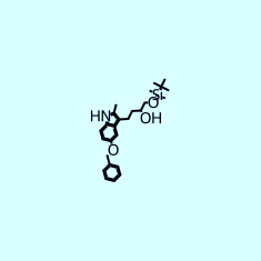 Cc1[nH]c2ccc(OCc3ccccc3)cc2c1CC[C@H](O)CO[Si](C)(C)C(C)(C)C